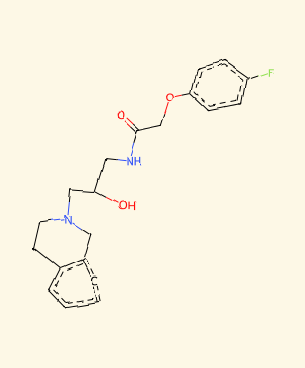 O=C(COc1ccc(F)cc1)NCC(O)CN1CCc2ccccc2C1